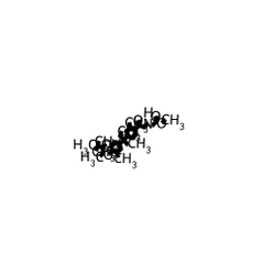 CCC(CC)(c1ccc(OC(C)C(O)C(C)(C)C)c(C)c1)c1ccc(C(=O)CNCC(=O)OC)c(C)c1